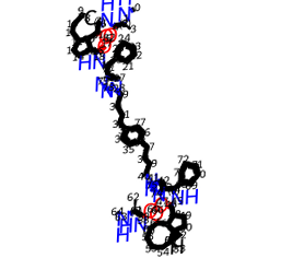 CN[C@@H](C)C(=O)N[C@H]1CCCCC2CCC(C(=O)N[C@@H](c3ccccc3)c3cn(CCCCc4ccc(CCCCn5cc([C@@H](NC(=O)C6CCC78C[C@@H]7CCC[C@H](NC(=O)[C@H](C)NC)C(=O)C68)c6ccccc6)nn5)cc4)nn3)C2C1=O